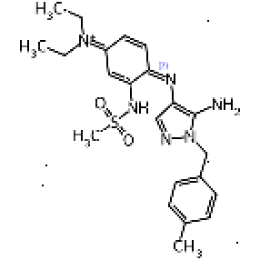 CC[N+](CC)=C1C=C/C(=N/c2cnn(Cc3ccc(C)cc3)c2N)C(NS(C)(=O)=O)=C1